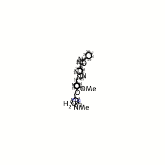 C=C(/C=C\C(=C/C)COc1ccc(Cn2cnc3cc(-c4nnc(C5CCCCC5)o4)cnc32)cc1OC)NC